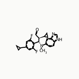 CN(c1ccc2[nH]cnc2c1)[C@H](c1c(F)cc(C2CC2)cc1F)[C@@H](C=O)C1CC1